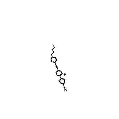 CCCCCc1ccc(C#Cc2ccc(-c3ccc(C#N)cc3)c(F)c2)cc1